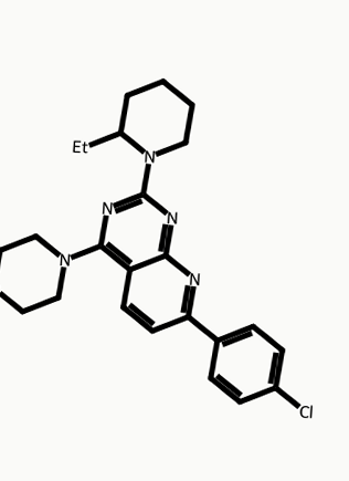 CCC1CCCCN1c1nc(N2CCOCC2)c2ccc(-c3ccc(Cl)cc3)nc2n1